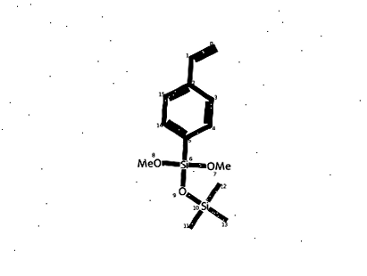 C=Cc1ccc([Si](OC)(OC)O[Si](C)(C)C)cc1